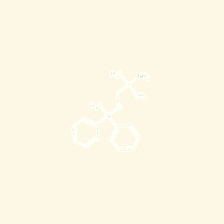 CC(C)(N)CO[Si](C)(c1ccccc1)c1ccccc1